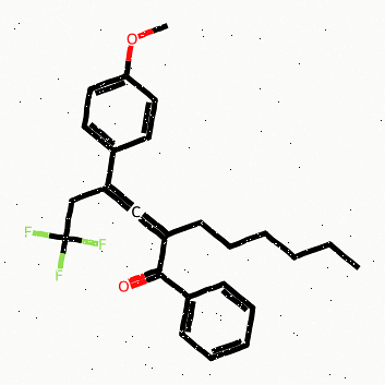 CCCCCCC(=C=C(CC(F)(F)F)c1ccc(OC)cc1)C(=O)c1ccccc1